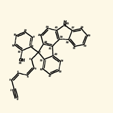 C#C/C=C\C=C/CC1(c2ccccc2O)c2ccccc2-c2c1ccc1[nH]c3ccccc3c21